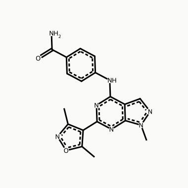 Cc1noc(C)c1-c1nc(Nc2ccc(C(N)=O)cc2)c2cnn(C)c2n1